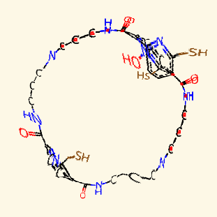 O=C1NCCCN2CCCNC(=O)c3ccc(c(S)n3)C(=O)NCCCN(CCCNC(=O)c3ccc1nc3S)CCCNC(=O)c1ccc([n+](O)c1S)C(=O)NCCC2